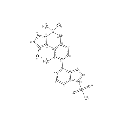 Cc1c(-c2cccc3c2ccn3S(C)(=O)=O)ccc2c1-n1c(C)nnc1C(C)(C)N2